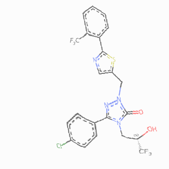 O=c1n(Cc2cnc(-c3ccccc3C(F)(F)F)s2)nc(-c2ccc(Cl)cc2)n1C[C@H](O)C(F)(F)F